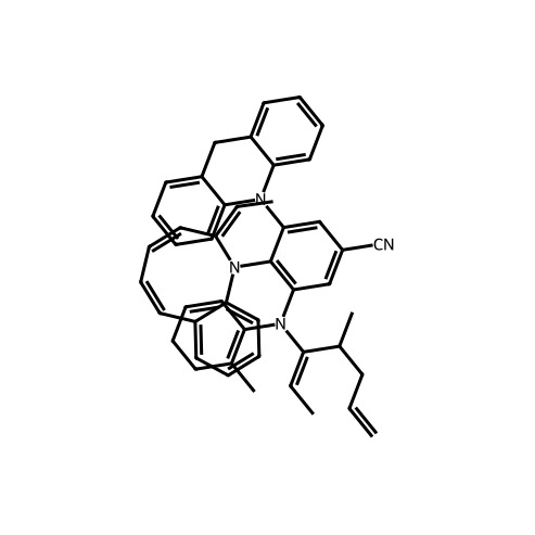 C=CCC(C)/C(=C\C)N(C1=C(C)CCC=C1)c1cc(C#N)cc(N2c3ccccc3Cc3ccccc32)c1N1C(=C\C)/C=C\C=C/c2ccccc21